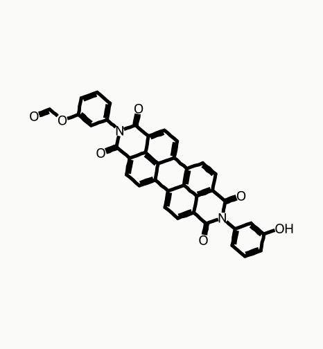 O=COc1cccc(N2C(=O)c3ccc4c5ccc6c7c(ccc(c8ccc(c3c48)C2=O)c75)C(=O)N(c2cccc(O)c2)C6=O)c1